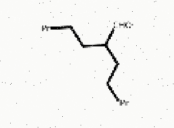 CC(C)CCC([C]=O)CCC(C)C